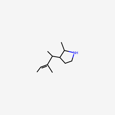 C/C=C(\C)C(C)C1CCNC1C